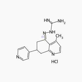 Cc1ccnc2c1/C(=N\NC(=N)N)CC(c1ccncc1)C2.Cl